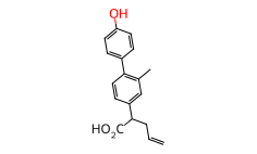 C=CCC(C(=O)O)c1ccc(-c2ccc(O)cc2)c(C)c1